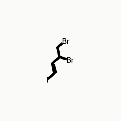 BrCC(Br)C=CI